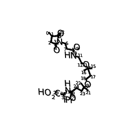 CC1CC(=O)N(CCC(=O)NCCOC(C)(C)CCOC(C)(C)CCC(=O)NC(C(=O)O)C(C)C)C1=O